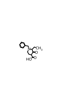 CCC1C(=O)C(C(=O)O)CCN1Cc1ccccc1